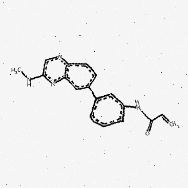 C=CC(=O)Nc1cccc(-c2ccc3ncc(NC)nc3c2)c1